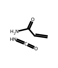 C=CC(N)=O.N=C=O